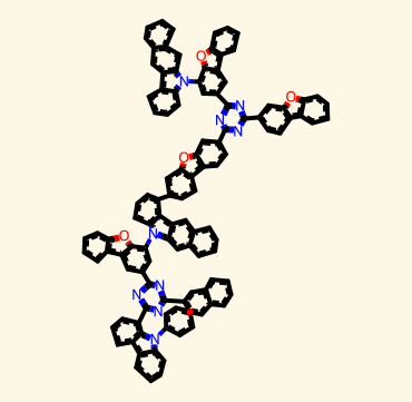 c1ccc(-n2c3ccccc3c3cccc(-c4nc(-c5ccc6ccccc6c5)nc(-c5cc(-n6c7cc8ccccc8cc7c7c(-c8ccc9c(c8)oc8cc(-c%10nc(-c%11ccc%12c(c%11)oc%11ccccc%11%12)nc(-c%11cc(-n%12c%13ccccc%13c%13cc%14ccccc%14cc%13%12)c%12oc%13ccccc%13c%12c%11)n%10)ccc89)cccc76)c6oc7ccccc7c6c5)n4)c32)cc1